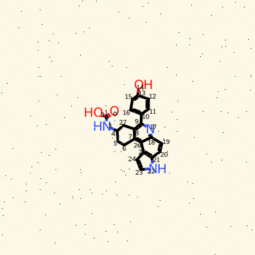 O=C(O)NC1CCc2c(c(-c3ccc(O)cc3)nc3ccc4[nH]ccc4c23)C1